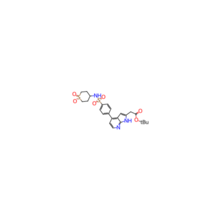 CC(C)(C)OC(=O)Cc1cc2c(-c3ccc(S(=O)(=O)NC4CCS(=O)(=O)CC4)cc3)ccnc2[nH]1